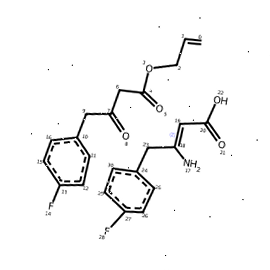 C=CCOC(=O)CC(=O)Cc1ccc(F)cc1.N/C(=C\C(=O)O)Cc1ccc(F)cc1